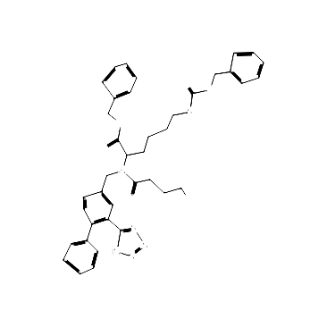 CCCCC(=O)N(Cc1ccc(-c2ccccc2)c(-c2nnn[nH]2)c1)C(CCCCNC(=O)OCc1ccccc1)C(=O)OCc1ccccc1